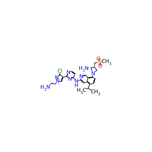 CC(C)c1ccc(N2C[C@H](CS(C)(=O)=O)[C@H]2N)c2cnc(Nc3ccnc(-c4cn(CCN)nc4Cl)n3)cc12